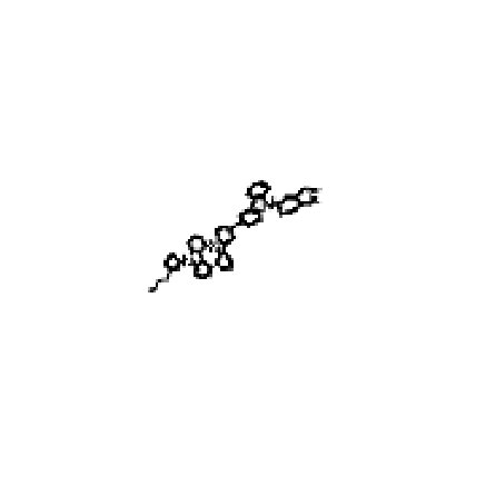 CCCCc1cccc(-n2c3ccccc3c3c(-n4c5ccccc5c5cc(-c6ccc7c(c6)c6ccccc6n7-c6ccc7ccccc7c6)ccc54)cccc32)c1